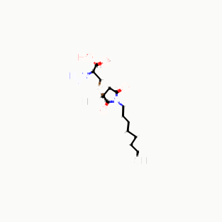 CCCCCCCCN1C(=O)CC(C)(SCC(N)C(=O)O)C1=O